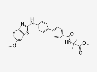 COC(=O)C(C)(C)NC(=O)c1ccc(-c2ccc(Nc3nc4ccc(OC)cc4s3)cc2)cc1